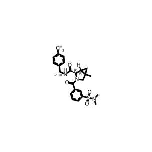 C[C@@H](NC(=O)[C@H]1[C@@H]2CC2(C)CN1C(=O)c1cccc(S(=O)(=O)N(C)C)c1)c1ccc(C(F)(F)F)cc1